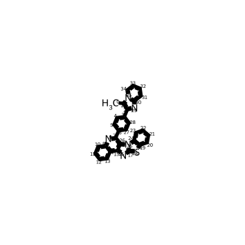 Cc1c(-c2ccc(-c3nc4ccccc4c4nc5sc6ccccc6n5c34)cc2)nc2ccccn12